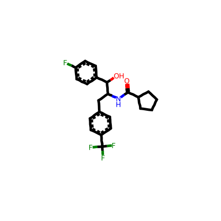 O=C(NC(Cc1ccc(C(F)(F)F)cc1)C(O)c1ccc(F)cc1)C1CCCC1